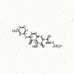 O=C(O)CNC(=O)c1cn2ccn(Cc3cccc(Cl)c3)c(=O)c2c(O)c1=O